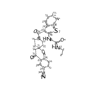 CCNC(=O)Nc1sc2nc(C)ccc2c1C(=O)N1CCC2(CC1)CC(=O)c1cc(C#N)ccc1O2